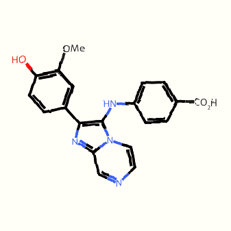 COc1cc(-c2nc3cnccn3c2Nc2ccc(C(=O)O)cc2)ccc1O